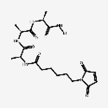 CCNC(=O)[C@H](C)NC(=O)[C@H](C)NC(=O)[C@H](C)NC(=O)CCCCCN1C(=O)C=CC1=O